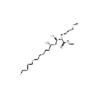 CCCCCCCCCCC[C@@H](O)CC(=N)C(CCCCCC)C(=O)OCC